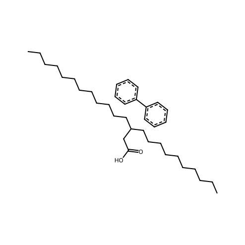 CCCCCCCCCCCCC(CCCCCCCCCC)CC(=O)O.c1ccc(-c2ccccc2)cc1